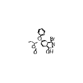 CCC(C)OC=O.Oc1cnc(Br)c2cc(Oc3ccccc3)ccc12